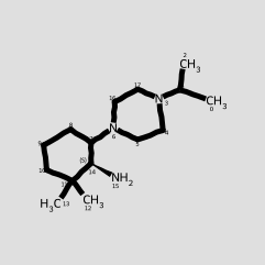 CC(C)N1CCN(C2CCCC(C)(C)[C@@H]2N)CC1